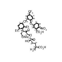 CCc1cccc(CC)c1N(COC)C(=O)CCl.CP(=O)(O)CCC(N)C(=O)O.O=C(O)c1cc(Oc2ccc(C(F)(F)F)cc2Cl)ccc1[N+](=O)[O-]